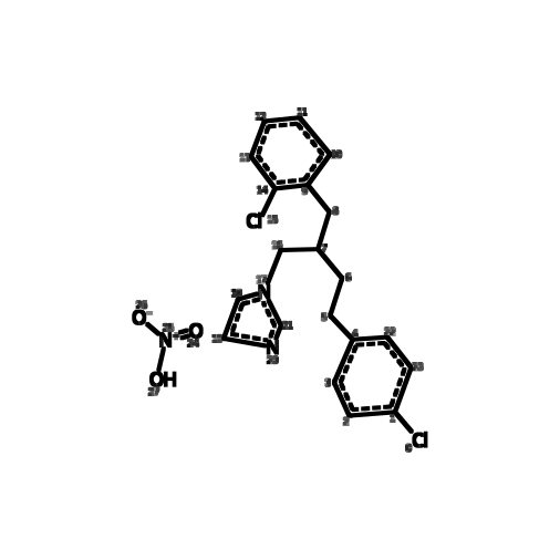 Clc1ccc(CCC(Cc2ccccc2Cl)Cn2ccnc2)cc1.O=[N+]([O-])O